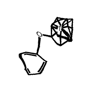 c1ccc(O[C]23[CH]4[CH]5[CH]6[CH]2[Ti]56432789[CH]3[CH]2[CH]7[CH]8[CH]39)cc1